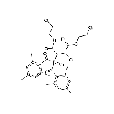 Cc1cc(C)c(C(=O)P(=O)(C(=O)c2c(C)cc(C)cc2C)C(C(=O)OCCCl)C(Cl)C(=O)OCCCl)c(C)c1